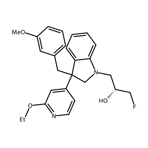 CCOc1cc(C2(Cc3cccc(OC)c3)CN(C[C@@H](O)CF)c3ccccc32)ccn1